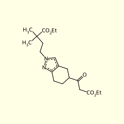 CCOC(=O)CC(=O)C1CCc2nn(CCC(C)(C)C(=O)OCC)cc2C1